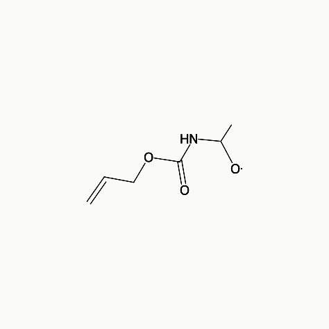 C=CCOC(=O)NC(C)[O]